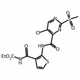 CCOC(=O)NC(=O)c1ccsc1NC(=O)c1nc(S(C)(=O)=O)ncc1Cl